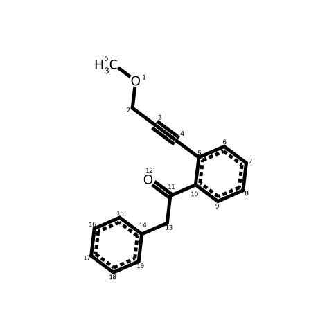 COCC#Cc1ccccc1C(=O)Cc1ccccc1